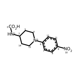 O=C(O)NC1CCN(c2ccc([N+](=O)[O-])cc2)CC1